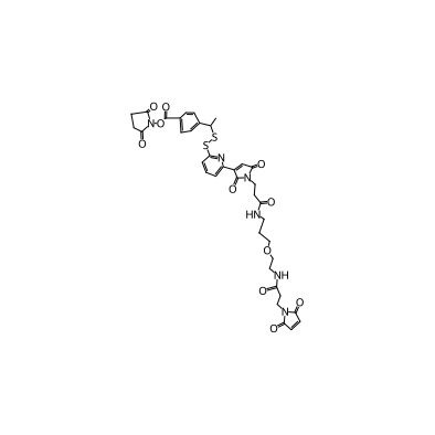 CC(SSc1cccc(C2=CC(=O)N(CCC(=O)NCCCOCCNC(=O)CCN3C(=O)C=CC3=O)C2=O)n1)c1ccc(C(=O)ON2C(=O)CCC2=O)cc1